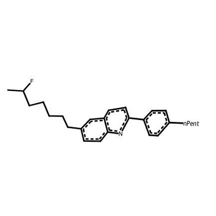 CCCCCc1ccc(-c2ccc3cc(CCCCCC(C)F)ccc3n2)cc1